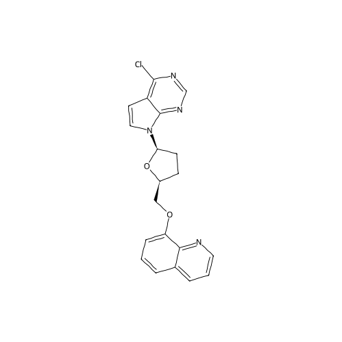 Clc1ncnc2c1ccn2[C@H]1CC[C@@H](COc2cccc3cccnc23)O1